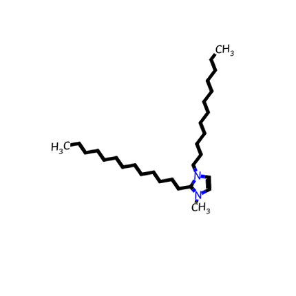 CCCCCCCCCCCCCC1N(C)C=CN1CCCCCCCCCCCC